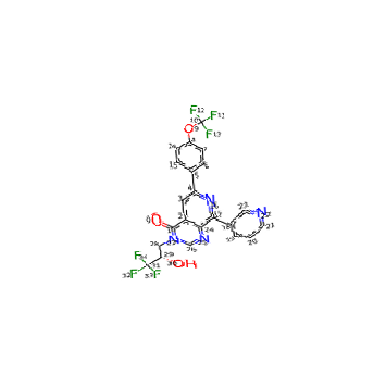 O=c1c2cc(-c3ccc(OC(F)(F)F)cc3)nc(-c3cccnc3)c2ncn1C[C@H](O)C(F)(F)F